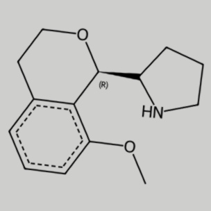 COc1cccc2c1[C@H](C1CCCN1)OCC2